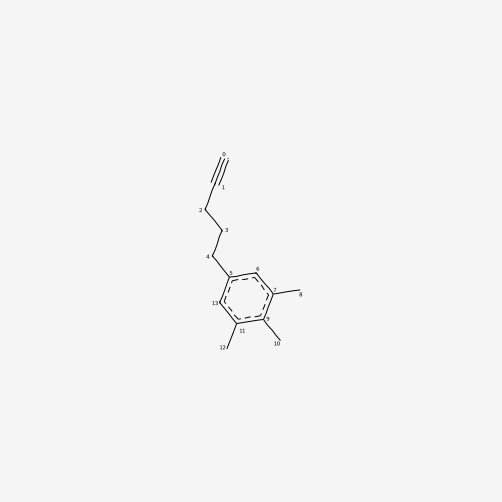 [C]#CCCCc1cc(C)c(C)c(C)c1